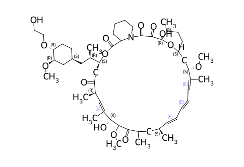 COC1C(=O)C(C)C[C@H](C)/C=C/C=C/C=C(\C)[C@@H](OC)C[C@@H]2CC[C@@H](C)[C@@](O)(O2)C(=O)C(=O)N2CCCCC2C(=O)O[C@H]([C@H](C)C[C@@H]2CC[C@@H](OCCO)[C@H](OC)C2)CC(=O)[C@H](C)/C=C(\C)[C@H]1O